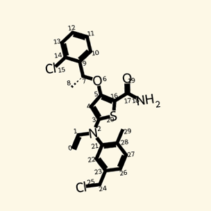 C=CN(c1cc(O[C@H](C)c2ccccc2Cl)c(C(N)=O)s1)c1cc(CCl)ccc1C